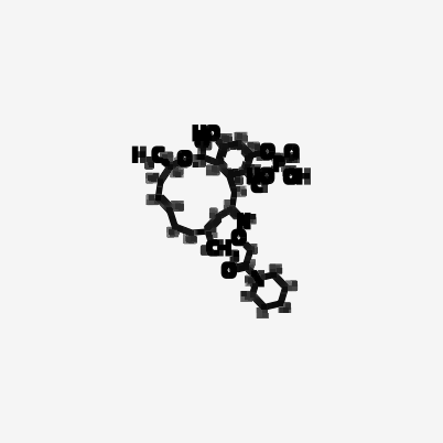 C/C1=C\C(=N/OCC(=O)N2CCCCC2)Cc2c(Cl)c(OP(=O)(O)O)cc(O)c2C(=O)O[C@H](C)C/C=C/CC1